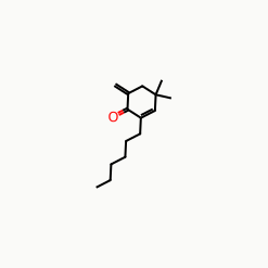 C=C1CC(C)(C)C=C(CCCCCC)C1=O